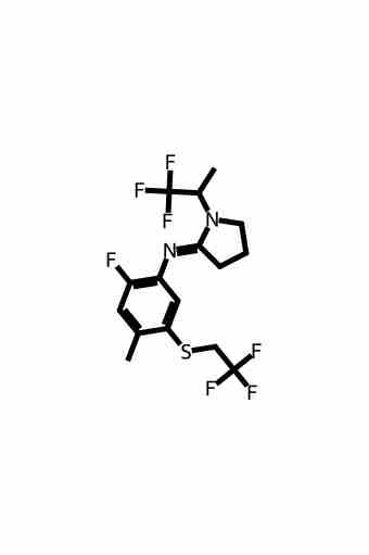 Cc1cc(F)c(/N=C2\CCCN2C(C)C(F)(F)F)cc1SCC(F)(F)F